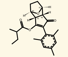 CCC(C)C(=O)OC1=C(c2c(C)cc(C)cc2C)C(=O)[C@@H]2[C@H]1[C@H]1CC[C@@H]2O1